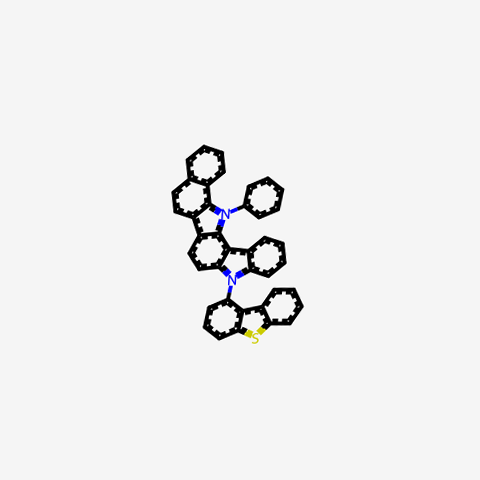 c1ccc(-n2c3c4ccccc4ccc3c3ccc4c(c5ccccc5n4-c4cccc5sc6ccccc6c45)c32)cc1